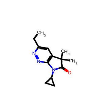 CCc1cc2c(nn1)N(C1CC1)C(=O)C2(C)C